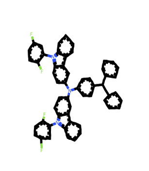 Fc1ccc(F)c(-n2c3ccccc3c3cc(N(c4ccc(C(c5ccccc5)c5ccccc5)cc4)c4ccc5c(c4)c4ccccc4n5-c4cc(F)ccc4F)ccc32)c1